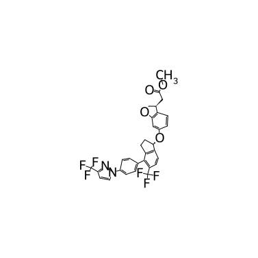 COC(=O)C[C@@H]1COc2cc(O[C@@H]3CCc4c3ccc(C(F)(F)F)c4-c3ccc(-n4ccc(C(F)(F)F)n4)cc3)ccc21